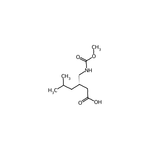 COC(=O)NC[C@H](CC(=O)O)CC(C)C